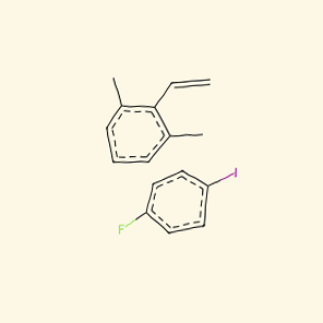 C=Cc1c(C)cccc1C.Fc1ccc(I)cc1